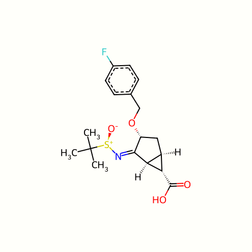 CC(C)(C)[S@@+]([O-])N=C1[C@H]2[C@@H](C[C@H]1OCc1ccc(F)cc1)[C@@H]2C(=O)O